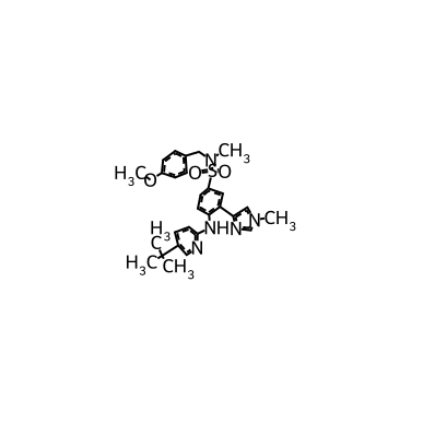 COc1ccc(CN(C)S(=O)(=O)c2ccc(Nc3ccc(C(C)(C)C)cn3)c(-c3cn(C)cn3)c2)cc1